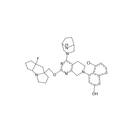 Oc1cc(N2CCc3c(nc(OCC45CCCN4C4CCCC4(F)C5)nc3N3CC4CCC(C3)N4)C2)c2c(Cl)cccc2c1